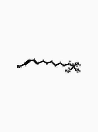 CCC#CC=CCCCCCCO[Si](C)(C)C